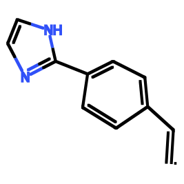 [CH]=Cc1ccc(-c2ncc[nH]2)cc1